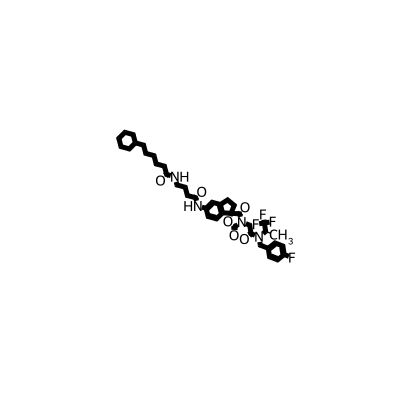 C[C@H](N(Cc1ccc(F)cc1)C(=O)CN1C(=O)OC2(CCc3cc(NC(=O)CCCNC(=O)CCCCCC4CCCCC4)ccc32)C1=O)C(F)(F)F